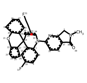 CN1Cc2nc(N3c4ccc(F)cc4C4(c5ccccc5Oc5ccccc54)c4cc(F)ccc43)ccc2C1=O